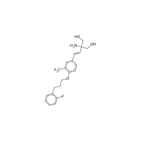 NC(C=Cc1ccc(OCCCc2ccccc2F)c(C(F)(F)F)c1)(CO)CO